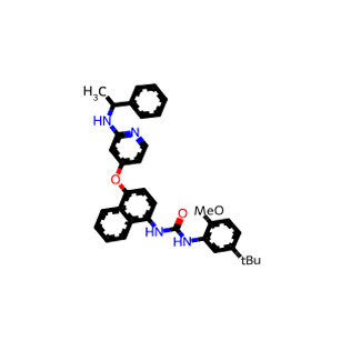 COc1ccc(C(C)(C)C)cc1NC(=O)Nc1ccc(Oc2ccnc(NC(C)c3ccccc3)c2)c2ccccc12